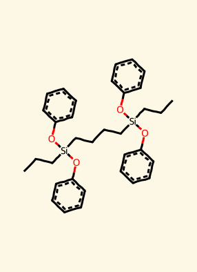 CCC[Si](CCCC[Si](CCC)(Oc1ccccc1)Oc1ccccc1)(Oc1ccccc1)Oc1ccccc1